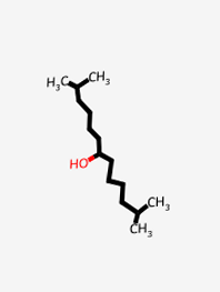 CC(C)CCCCC(O)CCCCC(C)C